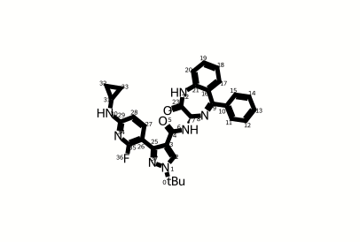 CC(C)(C)n1cc(C(=O)N[C@H]2N=C(c3ccccc3)c3ccccc3NC2=O)c(-c2ccc(NC3CC3)nc2F)n1